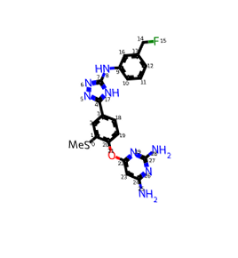 CSc1cc(-c2nnc(Nc3cccc(CF)c3)[nH]2)ccc1Oc1cc(N)nc(N)n1